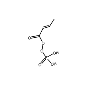 CC=CC(=O)OOP(=O)(O)O